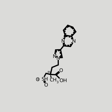 C[C@](CCn1cc(-c2cnc3ccccc3n2)cn1)(C[SH](=O)=O)C(=O)O